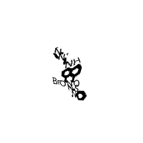 Cn1cc[n+](CCNc2ccc3c4c(cccc24)C(=O)N(/N=c2\sc4ccccc4n2C)C3=O)c1.[Br-]